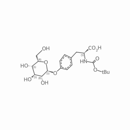 CC(C)(C)OC(=O)N[C@@H](Cc1ccc(O[C@@H]2O[C@H](CO)[C@@H](O)[C@H](O)[C@H]2O)cc1)C(=O)O